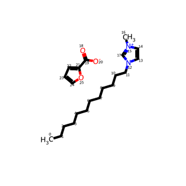 CCCCCCCCCCCCn1cc[n+](C)c1.O=C([O-])c1ccco1